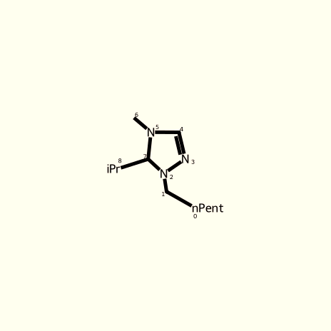 CCCCCCN1N=CN(C)C1C(C)C